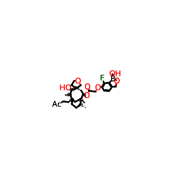 CC(=O)CC[C@]12CC[C@@H](C)[C@](C)(C1)[C@H](OC(=O)COc1ccc3c(c1F)B(O)OC3)C[C@@]1(CCOC1)[C@@H](O)[C@@H]2C